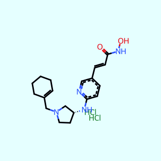 Cl.Cl.O=C(/C=C/c1ccc(N[C@@H]2CCN(CC3=CCCCC3)C2)nc1)NO